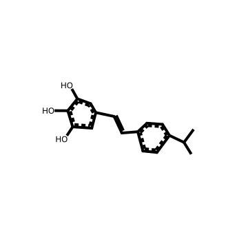 CC(C)c1ccc(C=Cc2cc(O)c(O)c(O)c2)cc1